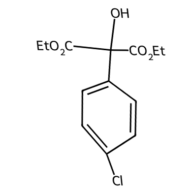 CCOC(=O)C(O)(C(=O)OCC)c1ccc(Cl)cc1